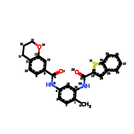 Cc1ccc(NC(=O)c2ccc3c(c2)OCCC3)cc1NC(=O)c1cc2ccccc2s1